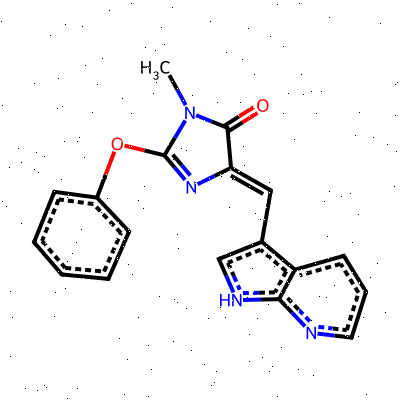 CN1C(=O)/C(=C/c2c[nH]c3ncccc23)N=C1Oc1ccccc1